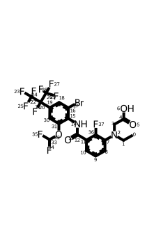 CCN(CC(=O)O)c1cccc(C(=O)Nc2c(Br)cc(C(F)(C(F)(F)F)C(F)(F)F)cc2OC(F)F)c1F